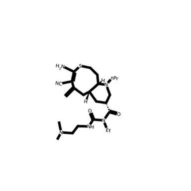 C=C1C[C@H]2C[C@@H](C(=O)N(CC)C(=O)NCCN(C)C)CN(CCC)[C@@H]2CCS/C(N)=C\1C#N